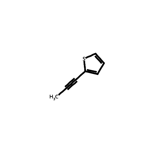 CC#Cc1cccs1